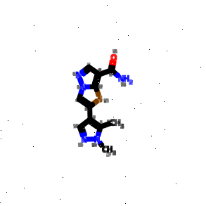 Cc1c(-c2cn3ncc(C(N)=O)c3s2)cnn1C